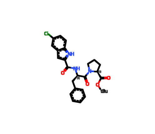 CC(C)(C)OC(=O)[C@@H]1CCCN1C(=O)[C@@H](Cc1ccccc1)NC(=O)c1cc2cc(Cl)ccc2[nH]1